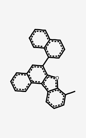 Cc1cccc2c1oc1c(-c3cccc4ccccc34)cc3ccccc3c12